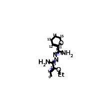 C/C=C(OCC)/C(N)=N/N=C(\N)C1=CCCCO1